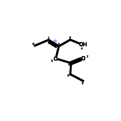 C/C=C(/CO)OC(=O)CC